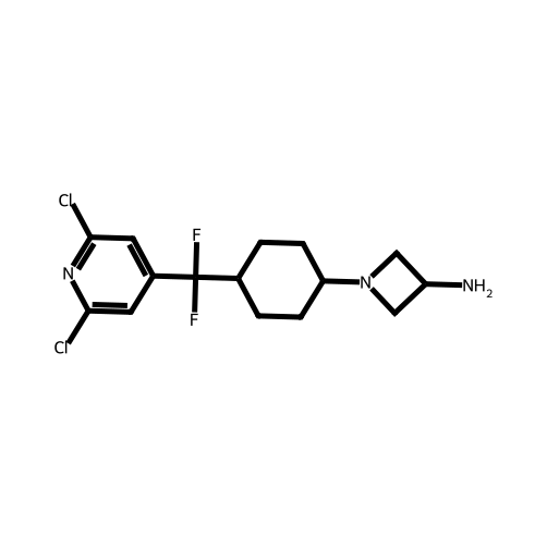 NC1CN(C2CCC(C(F)(F)c3cc(Cl)nc(Cl)c3)CC2)C1